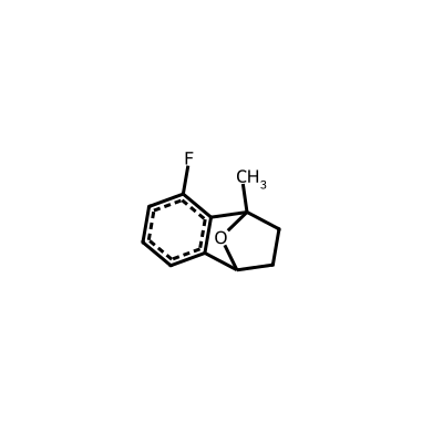 CC12CCC(O1)c1cccc(F)c12